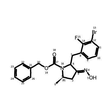 C[C@@H]1CC(=NO)C(Cc2cccc(Br)c2F)N1C(=O)OCc1ccccc1